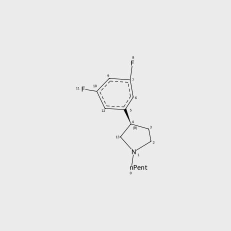 CCCCCN1CC[C@H](c2cc(F)cc(F)c2)C1